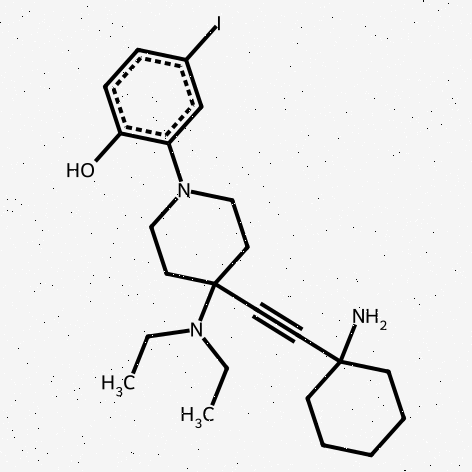 CCN(CC)C1(C#CC2(N)CCCCC2)CCN(c2cc(I)ccc2O)CC1